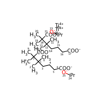 CC(C)(CCCC(=O)[O-])C(C)(C)C(=O)[O-].CC(C)(CCCC(=O)[O-])C(C)(C)C(=O)[O-].CC(C)[O-].CC(C)[O-].[Ti+4].[Ti+4]